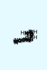 CO[C@@]1(C(=O)Nc2ccc3[nH]nc(-c4cn[nH]c4)c3c2)CCN(CC(=O)N2CCC(c3ccc(-c4ncccn4)cc3)CC2)C1